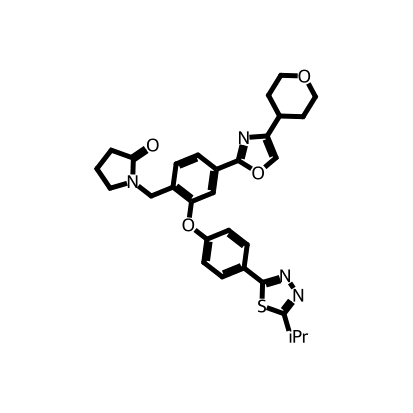 CC(C)c1nnc(-c2ccc(Oc3cc(-c4nc(C5CCOCC5)co4)ccc3CN3CCCC3=O)cc2)s1